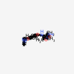 C=Cc1cc(NCCCOc2ccc(C(C)(C)c3ccc(OCc4ccnc(N5CC6(CCC6)C5)n4)cc3)cc2)ccc1C(=O)N(C)C1CCC(=C)NC1=O